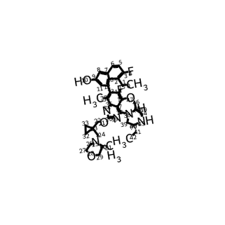 CCc1c(F)ccc2cc(O)cc(-c3c(F)c4c5c(nc(OCC6(CN7CCOC[C@H]7C)CC6)nc5c3C)N3C[C@@H](CC)NC[C@H]3CO4)c12